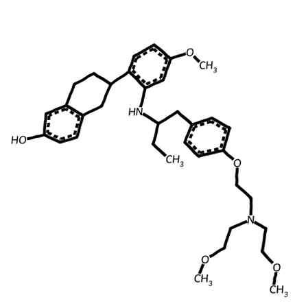 CCC(Cc1ccc(OCCN(CCOC)CCOC)cc1)Nc1cc(OC)ccc1C1CCc2cc(O)ccc2C1